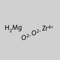 [MgH2].[O-2].[O-2].[Zr+4]